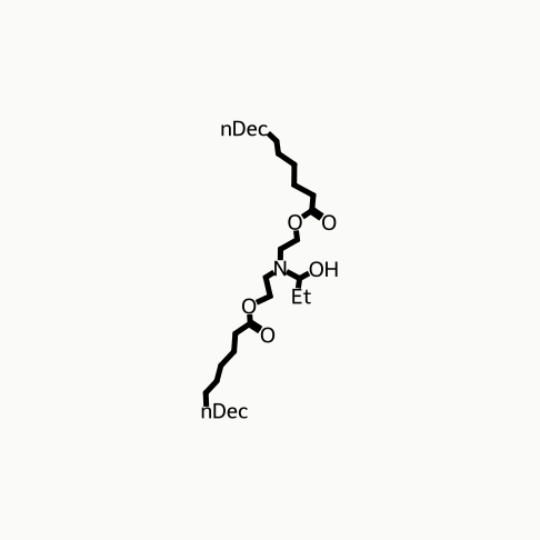 CCCCCCCCCCCCCCCC(=O)OCCN(CCOC(=O)CCCCCCCCCCCCCCC)C(O)CC